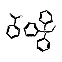 CC[P+](c1ccccc1)(c1ccccc1)c1ccccc1.O=C([O-])c1ccccc1